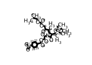 CC[Si](CC)(CC)OC(C)C1C(=O)N(C(=O)C(=O)OC(=O)c2ccc([N+](=O)[O-])cc2)C1[C@@H](C)C(=O)COC(=O)OCC(C)C